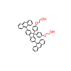 OCCOc1ccc(C2(c3ccc(OCCO)cc3)c3cc(-c4c5ccccc5cc5ccccc45)ccc3-c3ccc(-c4c5ccccc5cc5ccccc45)cc32)cc1